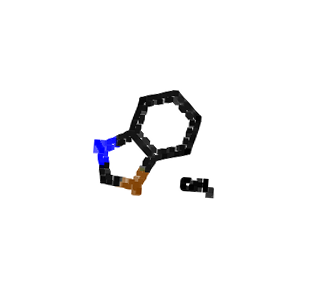 [CaH2].c1ccc2scnc2c1